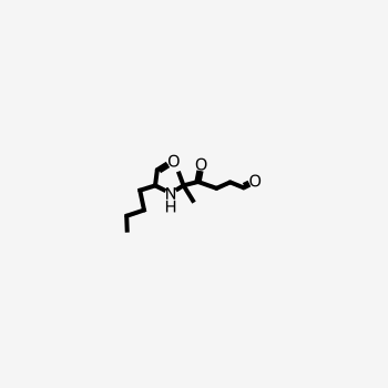 CCCCC(C=O)NC(C)(C)C(=O)CCC=O